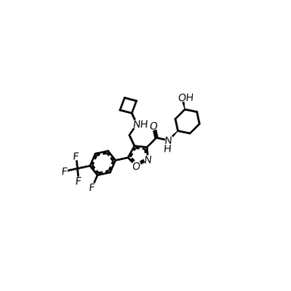 O=C(N[C@@H]1CCC[C@H](O)C1)c1noc(-c2ccc(C(F)(F)F)c(F)c2)c1CNC1CCC1